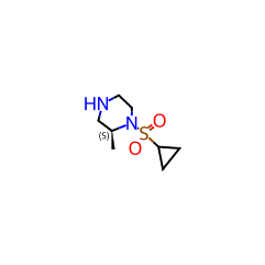 C[C@H]1CNCCN1S(=O)(=O)C1CC1